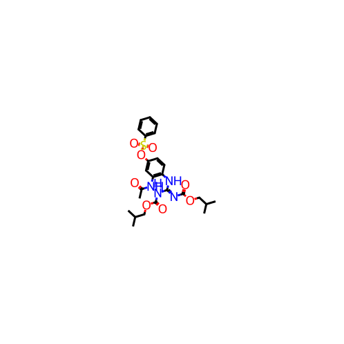 CC(=O)Nc1cc(OS(=O)(=O)c2ccccc2)ccc1N/C(=N\C(=O)OCC(C)C)NC(=O)OCC(C)C